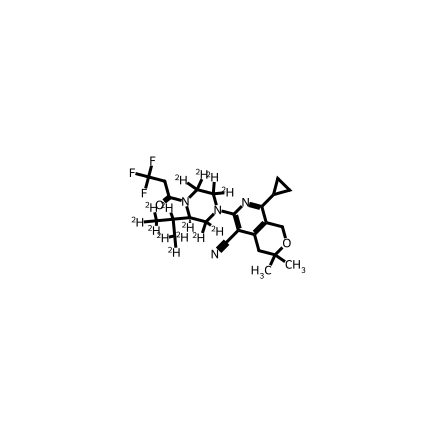 [2H]C([2H])([2H])C([2H])(C([2H])([2H])[2H])[C@@]1([2H])N(C(=O)CC(F)(F)F)C([2H])([2H])C([2H])([2H])N(c2nc(C3CC3)c3c(c2C#N)CC(C)(C)OC3)C1([2H])[2H]